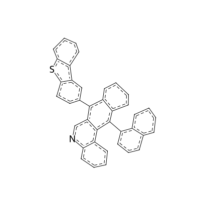 c1ccc2c(-c3c4ccccc4c(-c4ccc5sc6ccccc6c5c4)c4cnc5ccccc5c34)cccc2c1